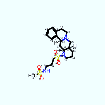 CS(=O)(=O)NCCCS(=O)(=O)N1CCC[C@H]2CN3CCc4ccccc4[C@@H]3C[C@H]21